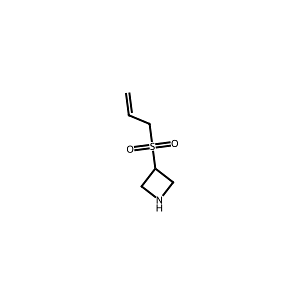 C=CCS(=O)(=O)C1CNC1